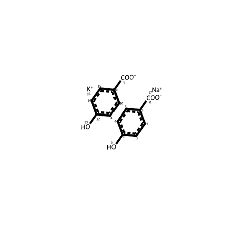 O=C([O-])c1ccc(O)cc1.O=C([O-])c1ccc(O)cc1.[K+].[Na+]